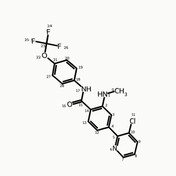 CNc1cc(-c2ncccc2Cl)ccc1C(=O)Nc1ccc(OC(F)(F)F)cc1